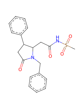 CS(=O)(=O)NC(=O)CC1C(c2ccccc2)CC(=O)N1Cc1ccccc1